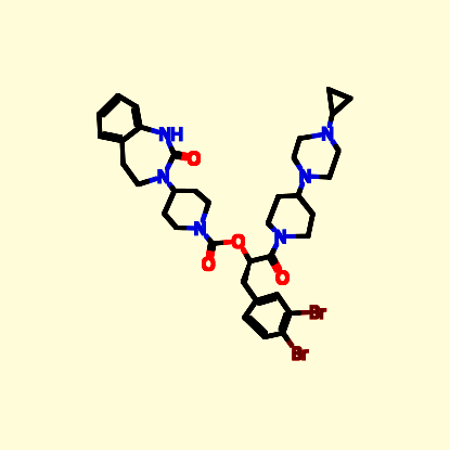 O=C(O[C@H](Cc1ccc(Br)c(Br)c1)C(=O)N1CCC(N2CCN(C3CC3)CC2)CC1)N1CCC(N2CCc3ccccc3NC2=O)CC1